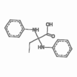 CCC(Nc1ccccc1)(Nc1ccccc1)C(=O)O